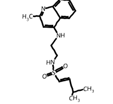 Cc1cc(NCCNS(=O)(=O)/C=C/C(C)C)c2ccccc2n1